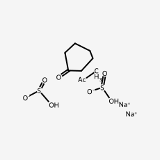 CC(C)=O.O=C1CCCCC1.O=S([O-])O.O=S([O-])O.[Na+].[Na+]